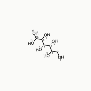 OC[C@@H](O)[C@@H](O)[C@H](O)[C@H](O)C(O)O